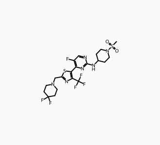 CS(=O)(=O)N1CCC(Nc2ncc(F)c(-c3sc(CN4CCC(F)(F)CC4)nc3C(F)(F)F)n2)CC1